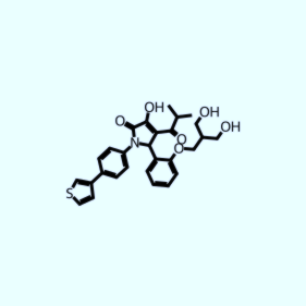 CC(C)C(=O)C1=C(O)C(=O)N(c2ccc(-c3ccsc3)cc2)C1c1ccccc1OCC(CO)CO